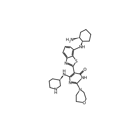 N[C@H]1CCCC[C@H]1Nc1cccc2nc(-c3c(N[C@@H]4CCCNC4)nc(N4CCOCC4)[nH]c3=O)sc12